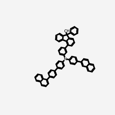 CC1(c2ccccc2)c2ccccc2-c2c(-c3cccc(N(c4ccc(-c5ccc(-c6cccc7ccccc67)cc5)cc4)c4ccc(-c5ccc6ccccc6c5)cc4)c3)cccc21